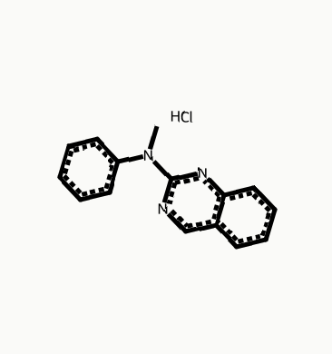 CN(c1ccccc1)c1ncc2ccccc2n1.Cl